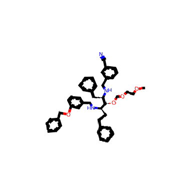 COCCOCO[C@H]([C@@H](CCc1ccccc1)NCc1cccc(OCc2ccccc2)c1)[C@@H](Cc1ccccc1)NCc1cccc(C#N)c1